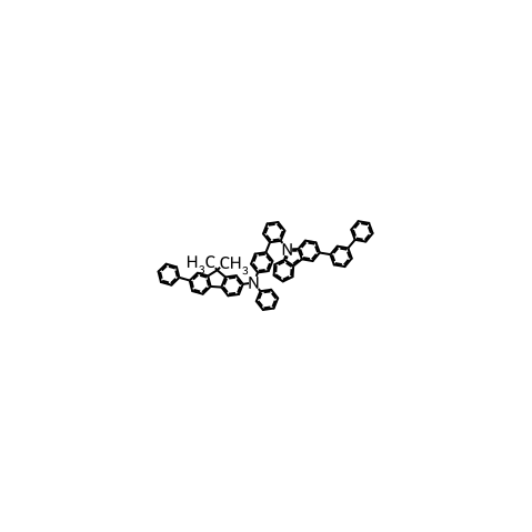 CC1(C)c2cc(-c3ccccc3)ccc2-c2ccc(N(c3ccccc3)c3ccc(-c4ccccc4-n4c5ccccc5c5cc(-c6cccc(-c7ccccc7)c6)ccc54)cc3)cc21